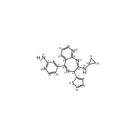 Nc1cc(C2=NC(c3cccs3)C(NC3CC3)=Nc3ncccc32)ccn1